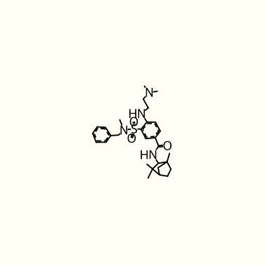 CN(C)CCNc1ccc(C(=O)NC2C3(C)CCC(C3)C2(C)C)cc1S(=O)(=O)N(C)Cc1ccccc1